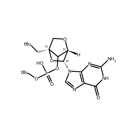 CC(C)(C)C[C@]12CO[C@@H](C1OP(=O)(O)OC(C)(C)C)[C@H](n1cnc3c(=O)[nH]c(N)nc31)O2